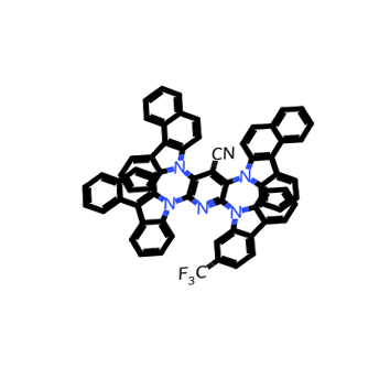 N#Cc1c(-n2c3ccccc3c3c4ccccc4ccc32)c(-n2c3ccccc3c3ccc(C(F)(F)F)cc32)nc(-n2c3ccccc3c3c4ccccc4ccc32)c1-n1c2ccccc2c2c3ccccc3ccc21